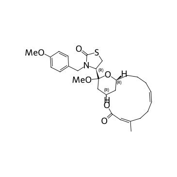 COc1ccc(CN2C(=O)SC[C@H]2C2(OC)C[C@H]3C[C@@H](CCCC=CCCC(C)=CC(=O)O3)O2)cc1